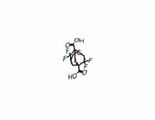 O=C(O)C12CC3CCC(CC(C(=O)O)(C1)C3(F)F)C2(F)F